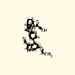 C#CC(=O)NC1(C2CC2)C2CCC1CN(c1ccc(-c3cc(OCC)cn4ncc(C#N)c34)cn1)C2